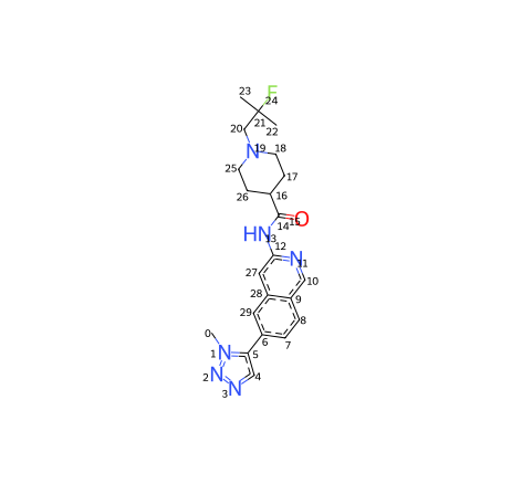 Cn1nncc1-c1ccc2cnc(NC(=O)C3CCN(CC(C)(C)F)CC3)cc2c1